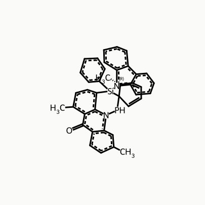 Cc1ccc2c(=O)c3c(C)ccc4c3n(c2c1)PC1(C=CC=C[C@H]1C)[Si]4(c1ccccc1)n1c2ccccc2c2ccccc21